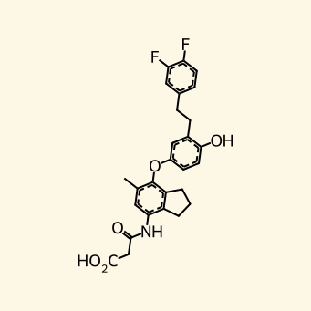 Cc1cc(NC(=O)CC(=O)O)c2c(c1Oc1ccc(O)c(CCc3ccc(F)c(F)c3)c1)CCC2